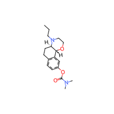 CCCN1CCO[C@@H]2c3cc(OC(=O)N(C)C)ccc3CC[C@H]21